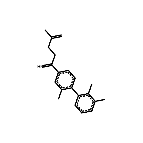 C=C(C)CCC(=N)c1ccc(-c2cccc(C)c2C)c(C)c1